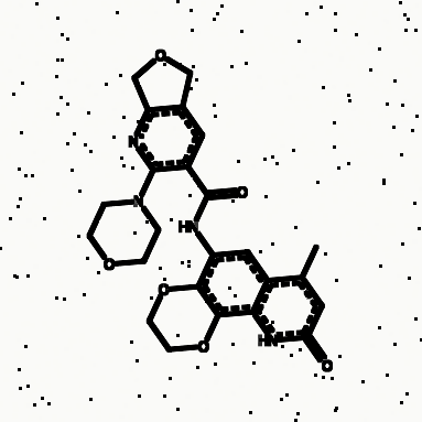 Cc1cc(=O)[nH]c2c3c(c(NC(=O)c4cc5c(nc4N4CCOCC4)COC5)cc12)OCCO3